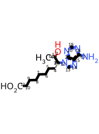 C[C@H](O)[C@@H](CCCCCCCC(=O)O)n1cnc2c(N)ncnc21